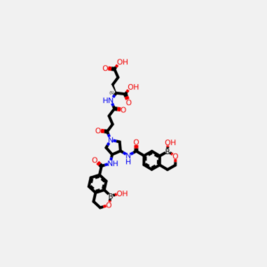 O=C(O)CC[C@H](NC(=O)CCC(=O)N1CC(NC(=O)c2ccc3c(c2)B(O)OCC3)C(NC(=O)c2ccc3c(c2)B(O)OCC3)C1)C(=O)O